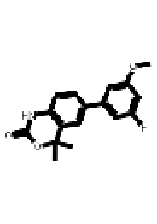 COc1cc(F)cc(-c2ccc3c(c2)C(C)(C)OC(=O)N3)c1